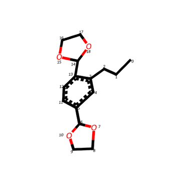 CCCc1cc(C2OCCO2)ccc1C1OCCO1